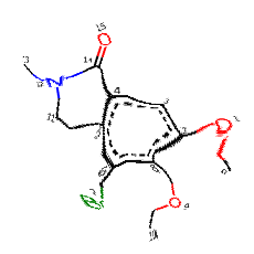 COc1cc2c(c(Br)c1OC)CN(C)C2=O